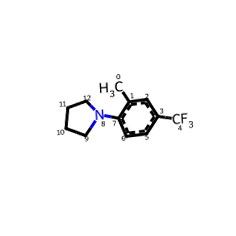 Cc1cc(C(F)(F)F)ccc1N1CCCC1